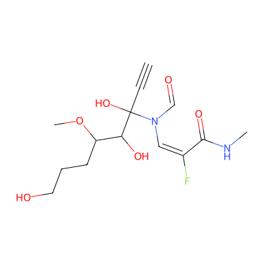 C#CC(O)(C(O)C(CCCO)OC)N(C=O)/C=C(/F)C(=O)NC